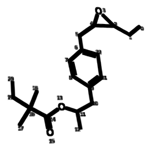 CCC1OC1Cc1ccc(CC(C)OC(=O)C(C)(C)CC)cc1